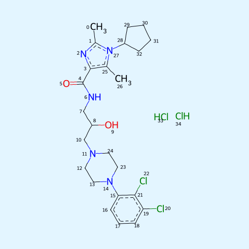 Cc1nc(C(=O)NCC(O)CN2CCN(c3cccc(Cl)c3Cl)CC2)c(C)n1C1CCCC1.Cl.Cl